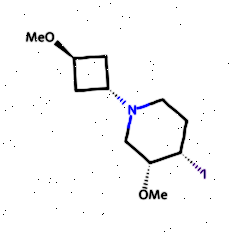 CO[C@@H]1CN([C@H]2C[C@H](OC)C2)CC[C@@H]1I